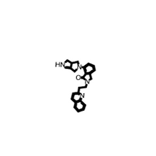 O=C1c2c(cccc2N2CC3=CNCC3C2)CN1CCc1ccc2ccccc2n1